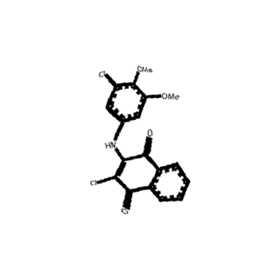 COc1cc(NC2=C(Cl)C(=O)c3ccccc3C2=O)cc(Cl)c1OC